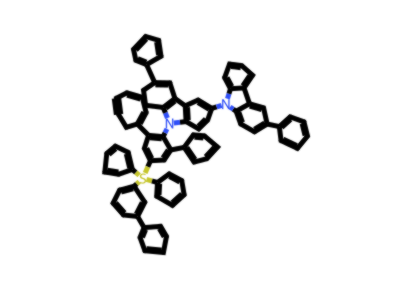 C1#CCC(c2cc(S(c3ccccc3)(c3ccccc3)c3cccc(-c4ccccc4)c3)cc(-c3ccccc3)c2-n2c3c(c4cc(-n5c6ccccc6c6cc(-c7ccccc7)ccc65)ccc42)C=C(c2ccccc2)CC3)=CC=C1